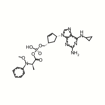 CON(c1ccccc1)[C@H](C)C(=O)OP(=O)(O)OC[C@@H]1C=C[C@H](n2cnc3c(NC4CC4)nc(N)nc32)C1